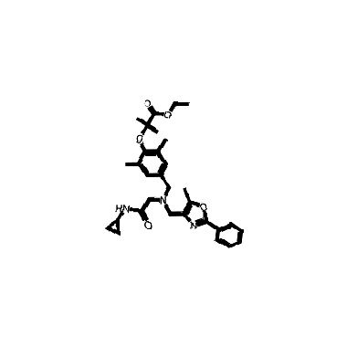 CCOC(=O)C(C)(C)Oc1c(C)cc(CN(CC(=O)NC2CC2)Cc2nc(-c3ccccc3)oc2C)cc1C